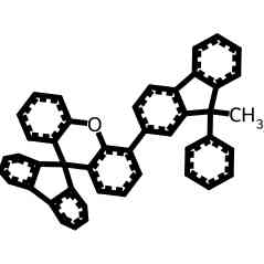 CC1(c2ccccc2)c2ccccc2-c2ccc(-c3cccc4c3Oc3ccccc3C43c4ccccc4-c4ccccc43)cc21